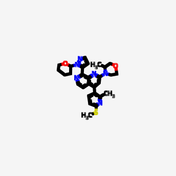 CSc1ccc(-c2cc(N3CCOCC3C)nc3c(-c4ccnn4C4CCCCO4)nccc23)c(C)n1